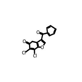 O=C1Cc2c(C(=O)c3ccccc3)coc2C(Cl)=C1Cl